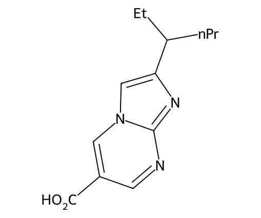 CCCC(CC)c1cn2cc(C(=O)O)cnc2n1